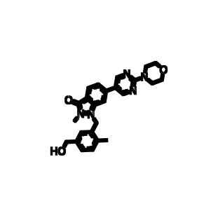 Cc1ccc(CO)cc1Cn1c2cc(-c3cnc(N4CCOCC4)nc3)ccc2c(=O)n1C